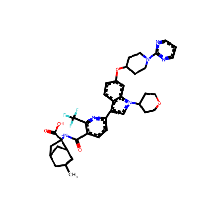 CC1CC2CC(C1)C(NC(=O)c1ccc(-c3cn(C4CCOCC4)c4cc(OC5CCN(c6ncccn6)CC5)ccc34)nc1C(F)(F)F)(C(=O)O)C2